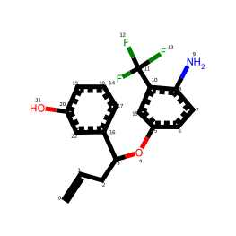 C=CCC(Oc1ccc(N)c(C(F)(F)F)c1)c1cccc(O)c1